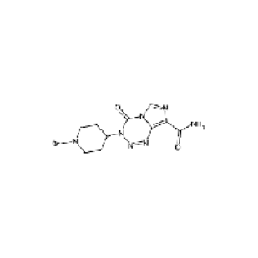 NC(=O)c1ncn2c(=O)n(C3CCN(Br)CC3)nnc12